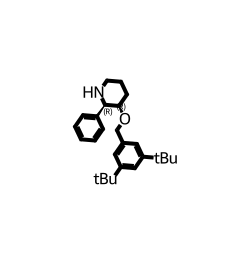 CC(C)(C)c1cc(CO[C@@H]2CCCN[C@@H]2c2ccccc2)cc(C(C)(C)C)c1